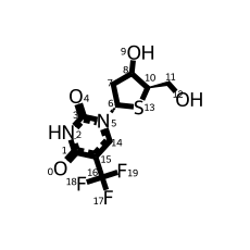 O=c1[nH]c(=O)n([C@@H]2CC(O)[C@@H](CO)S2)cc1C(F)(F)F